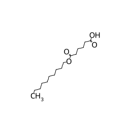 CCCCCCCCCCOC(=O)CCCCC(=O)O